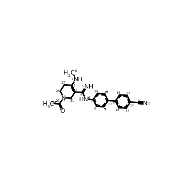 CNC1=C(C(=N)Nc2ccc(-c3ccc(C#N)cc3)cc2)CN(C(C)=O)CC1